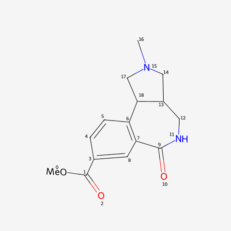 COC(=O)c1ccc2c(c1)C(=O)NCC1CN(C)CC21